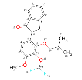 COc1ccc(C2Cc3ccccc3C2=O)c(OCC(C)C)c1OC(F)F